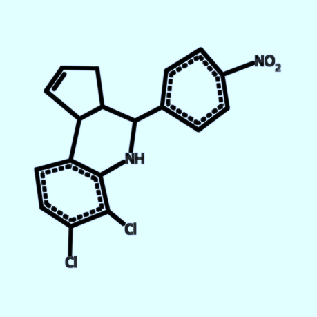 O=[N+]([O-])c1ccc(C2Nc3c(ccc(Cl)c3Cl)C3C=CCC32)cc1